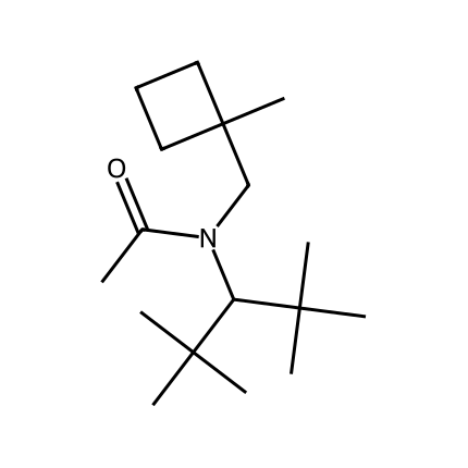 CC(=O)N(CC1(C)CCC1)C(C(C)(C)C)C(C)(C)C